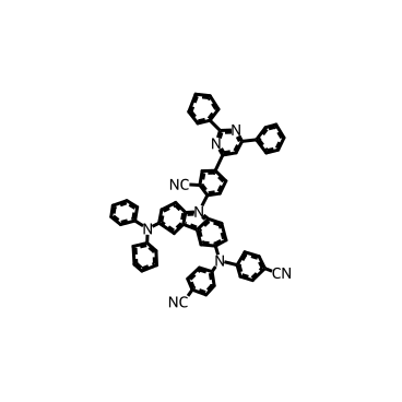 N#Cc1ccc(N(c2ccc(C#N)cc2)c2ccc3c(c2)c2cc(N(c4ccccc4)c4ccccc4)ccc2n3-c2ccc(-c3cc(-c4ccccc4)nc(-c4ccccc4)n3)cc2C#N)cc1